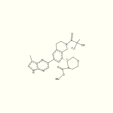 Cc1c[nH]c2ncc(-c3cc4c(c([C@@H]5COCCN5C(=O)OC(C)(C)C)c3)CN(C(=O)C(C)(O)C(F)(F)F)CC4)nc12